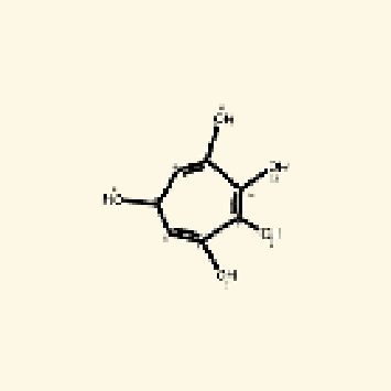 OC1=CC(O)C=C(O)C(O)=C1O